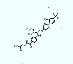 CCC(C)[C@@H](COc1cnc(-c2ccc(C(F)(F)F)cc2Cl)nc1)Nc1ccc(C(=O)NCCC(=O)O)cc1